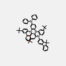 CC(C)(C)c1ccc2c(c1)B1c3ccc(N(c4ccccc4)c4ccccc4)cc3N(c3ccc(C(C)(C)C)cc3-c3ccccc3)c3cc(C(C)(C)C)cc(c31)N2c1ccc2c(c1)C(C)(C)c1ccccc1-2